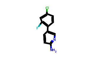 Nc1ccc(-c2ccc(Cl)cc2F)cn1